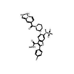 CNC(=O)c1c(-c2ccc(F)cc2)oc2cc(N(C)S(C)(=O)=O)c([C@H]3CCCN(C(=O)C4=CC5=CNNN5C=C4)C3)cc12